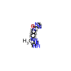 CN(c1ncnc2[nH]ccc12)C1CCC2(CC1)CCN(C(=O)c1cnccn1)CC2